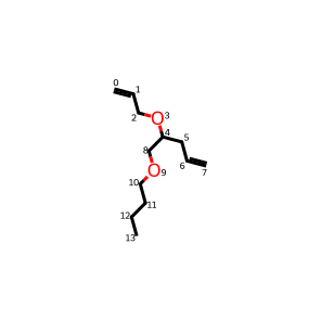 C=CCOC(CC=C)COCCCC